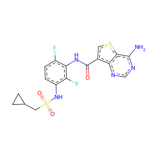 Nc1ncnc2c(C(=O)Nc3c(F)ccc(NS(=O)(=O)CC4CC4)c3F)csc12